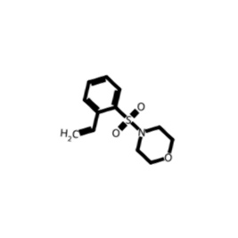 C=Cc1ccccc1S(=O)(=O)N1CCOCC1